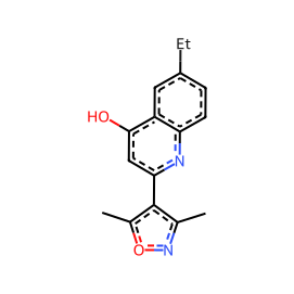 CCc1ccc2nc(-c3c(C)noc3C)cc(O)c2c1